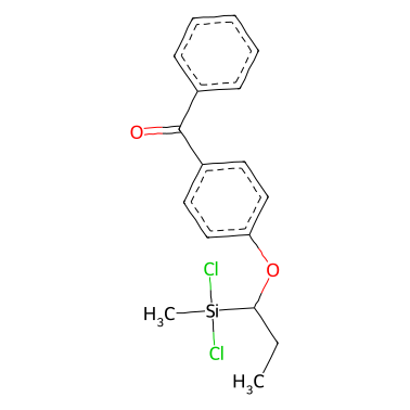 CCC(Oc1ccc(C(=O)c2ccccc2)cc1)[Si](C)(Cl)Cl